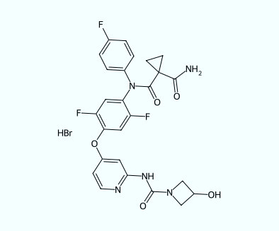 Br.NC(=O)C1(C(=O)N(c2ccc(F)cc2)c2cc(F)c(Oc3ccnc(NC(=O)N4CC(O)C4)c3)cc2F)CC1